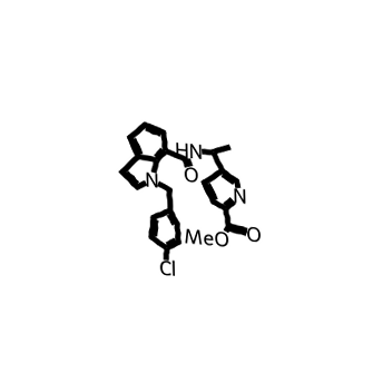 COC(=O)c1ccc(C(C)NC(=O)c2cccc3ccn(Cc4ccc(Cl)cc4)c23)cn1